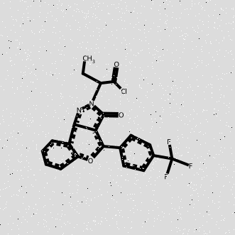 CCC(C(=O)Cl)n1nc2c3ccccc3oc(-c3ccc(C(F)(F)F)cc3)c-2c1=O